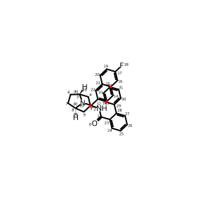 O=C(NC1C[C@H]2CC[C@H](C1)N2Cc1ccc2cc(F)ccc2c1)c1ccccc1-c1ccccc1